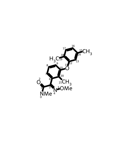 CNC(=O)/C(=N/OC)c1cccc(Oc2cc(C)ccc2C)c1C